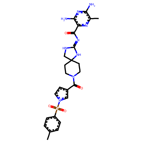 Cc1ccc(S(=O)(=O)n2ccc(C(=O)N3CCC4(CC3)CN/C(=N\C(=O)c3nc(C)c(N)nc3N)N4)c2)cc1